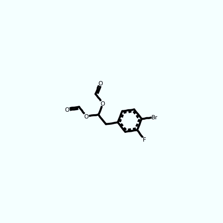 O=COC(Cc1ccc(Br)c(F)c1)OC=O